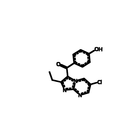 CCc1nc2ncc(Cl)cn2c1C(=O)c1ccc(O)cc1